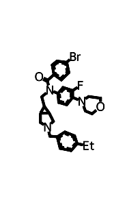 CCc1ccc(CN2CC3C(C2)C3CN(C(=O)c2ccc(Br)cc2)c2ccc(N3CCOCC3)c(F)c2)cc1